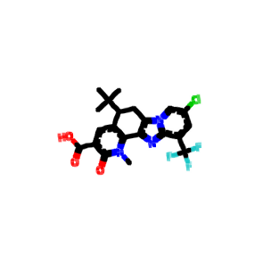 Cn1c2c(cc(C(=O)O)c1=O)C(C(C)(C)C)Cc1c-2nc2c(C(F)(F)F)cc(Cl)cn12